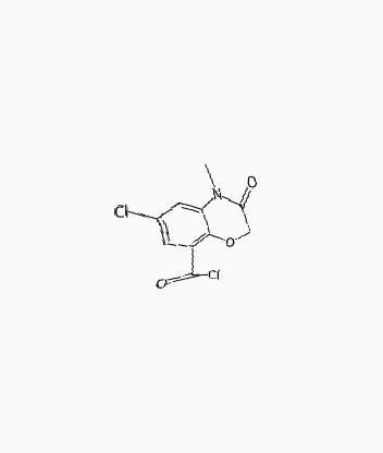 CN1C(=O)COc2c(C(=O)Cl)cc(Cl)cc21